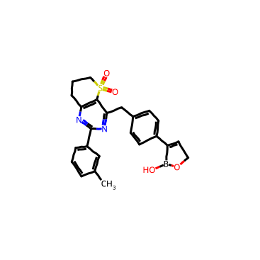 Cc1cccc(-c2nc3c(c(Cc4ccc(C5=CCOB5O)cc4)n2)S(=O)(=O)CCC3)c1